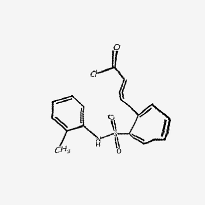 Cc1ccccc1NS(=O)(=O)c1ccccc1C=CC(=O)Cl